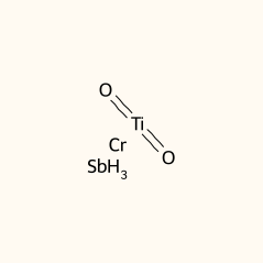 [Cr].[O]=[Ti]=[O].[SbH3]